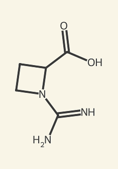 N=C(N)N1CCC1C(=O)O